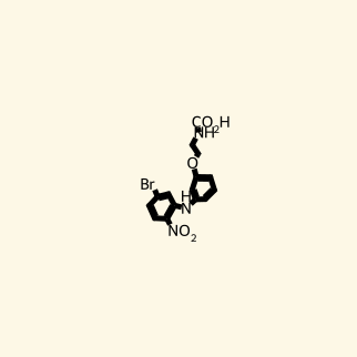 O=C(O)NCCOc1cccc(Nc2cc(Br)ccc2[N+](=O)[O-])c1